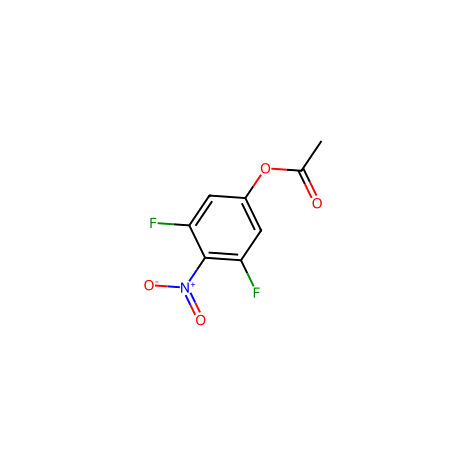 CC(=O)Oc1cc(F)c([N+](=O)[O-])c(F)c1